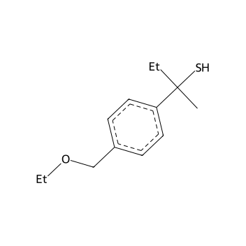 CCOCc1ccc(C(C)(S)CC)cc1